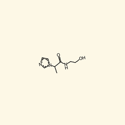 CC(C(=O)NCCO)n1ccnc1